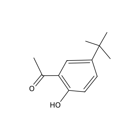 CC(=O)c1cc(C(C)(C)C)ccc1O